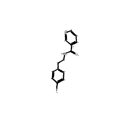 O=C(NCCc1ccc(F)cc1)c1cccnc1